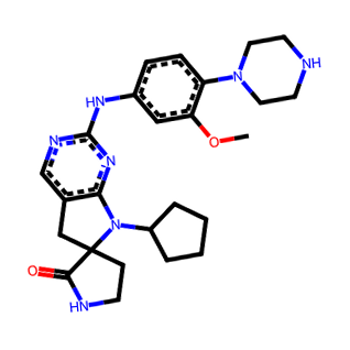 COc1cc(Nc2ncc3c(n2)N(C2CCCC2)C2(CCNC2=O)C3)ccc1N1CCNCC1